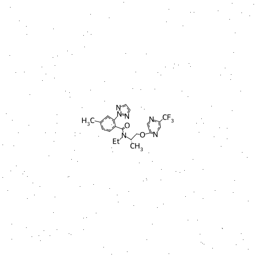 CCN(C(=O)c1ccc(C)cc1-n1nccn1)[C@@H](C)COc1cnc(C(F)(F)F)cn1